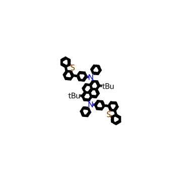 CC(C)(C)c1cc(N(c2ccccc2)c2ccc(-c3cccc4c3sc3ccccc34)cc2)c2ccc3c(C(C)(C)C)cc(N(c4ccccc4)c4ccc(-c5cccc6c5sc5ccccc56)cc4)c4ccc1c2c43